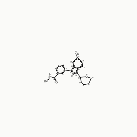 CC(C)(C)NC(=O)c1cccc(-c2nn(C3CCCCO3)c3ccc(C#N)cc23)c1